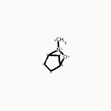 CN1OC2CCC1C2